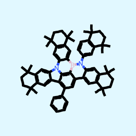 CC1(C)CCC(C)(C)c2cc(N3B4c5cc6c(cc5-n5c7cc8c(cc7c7c(-c9ccccc9)cc(c4c75)-c4cc5c(cc43)C(C)(C)CCC5(C)C)C(C)(C)CCC8(C)C)C(C)(C)CCC6(C)C)ccc21